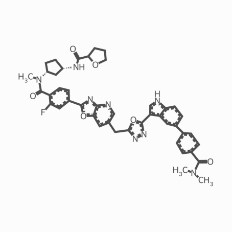 CN(C)C(=O)c1ccc(-c2ccc3[nH]cc(-c4nnc(Cc5cnc6nc(-c7ccc(C(=O)N(C)[C@@H]8CC[C@H](NC(=O)C9CCCO9)C8)c(F)c7)oc6c5)o4)c3c2)cc1